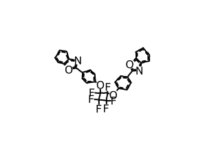 FC1(F)C(F)(F)C(F)(Oc2ccc(-c3nc4ccccc4o3)cc2)C1(F)Oc1ccc(-c2nc3ccccc3o2)cc1